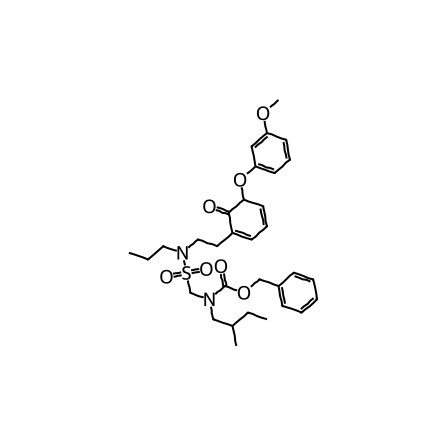 CCCN(CCC1=CC=CC(Oc2cccc(OC)c2)C1=O)S(=O)(=O)CN(CC(C)CC)C(=O)OCc1ccccc1